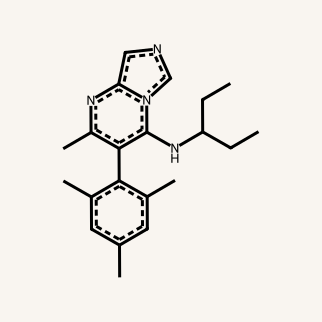 CCC(CC)Nc1c(-c2c(C)cc(C)cc2C)c(C)nc2cncn12